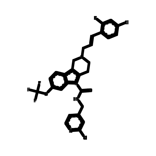 O=C(NCc1ccnc(Cl)c1)n1c2c(c3ccc(OC(F)(F)F)cc31)CN(CC=Cc1ccc(Cl)cc1F)CC2